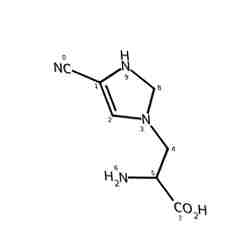 N#CC1=CN(CC(N)C(=O)O)CN1